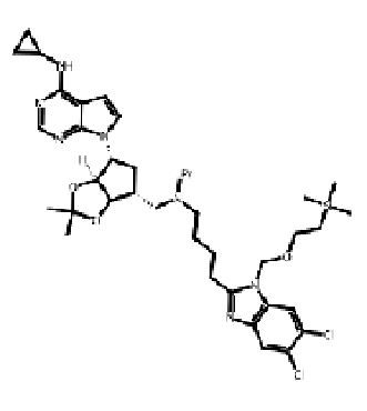 CC(C)N(CCCCc1nc2cc(Cl)c(Cl)cc2n1COCC[Si](C)(C)C)C[C@H]1C[C@@H](n2ccc3c(NC4CC4)ncnc32)[C@@H]2OC(C)(C)OC12